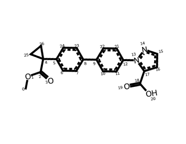 COC(=O)C1(c2ccc(-c3ccc(-n4nccc4C(=O)O)cc3)cc2)CC1